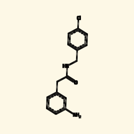 Nc1cccc(CC(=O)NCc2ccc(Cl)cc2)c1